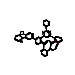 c1ccc(-c2cc(-c3cc(-c4ccc5oc6cccnc6c5c4)ccc3-c3cc4ccccc4c4ccccc34)nc(-c3ccccc3)n2)cc1